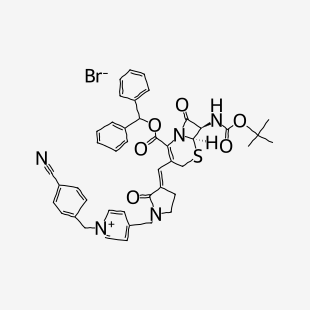 CC(C)(C)OC(=O)N[C@@H]1C(=O)N2C(C(=O)OC(c3ccccc3)c3ccccc3)=C(/C=C3\CCN(Cc4cc[n+](Cc5ccc(C#N)cc5)cc4)C3=O)CS[C@H]12.[Br-]